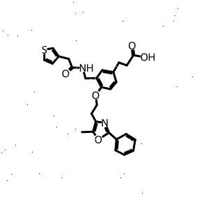 Cc1oc(-c2ccccc2)nc1CCOc1ccc(CCC(=O)O)cc1CNC(=O)Cc1ccsc1